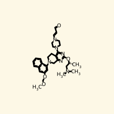 COCOc1cc(N2CCc3c(nc(O[C@H](C)CN(C)C)nc3N3CCN(C=CC=O)CC3)C2)c2ccccc2c1